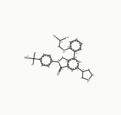 CC(C)(O)c1ccc(N2Cc3c(cc(C4CCOC4)nc3-c3ccccc3OCC(F)F)C2=O)cc1